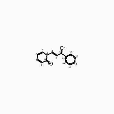 O=C(/C=C/C1C=CC=CC1=O)c1ccccc1